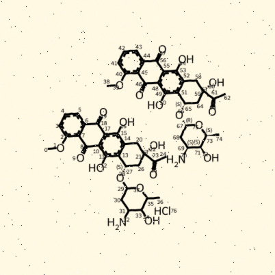 COc1cccc2c1C(=O)c1c(O)c3c(c(O)c1C2=O)C[C@@](O)(C(C)=O)C[C@@H]3OC1CC(N)C(O)C(C)O1.COc1cccc2c1C(=O)c1c(O)c3c(c(O)c1C2=O)C[C@@](O)(C(C)=O)C[C@@H]3O[C@H]1C[C@H](N)[C@H](O)[C@H](C)O1.Cl